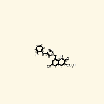 O=C(O)c1cc2cc(Cl)cc(Cn3cc(Cc4ccccc4F)nn3)c2[nH]c1=O